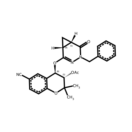 CC(=O)O[C@H]1[C@H](OC2=NN(Cc3ccccc3)C(=O)[C@H]3C[C@@H]23)c2cc(C#N)ccc2OC1(C)C